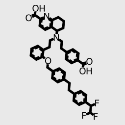 O=C(O)c1ccc(CCN(CCc2ccccc2OCc2ccc(CCc3ccc(C(F)C(F)F)cc3)cc2)C2CCCc3nc(C(=O)O)ccc32)cc1